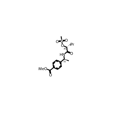 COC(=O)c1ccc([C@H](C)NC(=O)[C@H](OS(C)(=O)=O)C(C)C)cc1